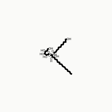 CCCCCCCCCCCCCC[C@@H](O)[C@H](O)[C@@](C)(NC(=O)CCCCCCCCCCO)O[C@@H]1OC(CO)[C@H](O)[C@H](O)[C@H]1O